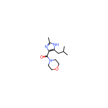 Cc1nc(C(=O)N2CCOCC2)c(CC(C)C)[nH]1